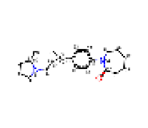 C[C@@H]1CCCN1C[C@H]1C[C@@H]1c1ccc(N2CCCCCC2=O)cc1